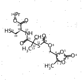 Cc1oc(=O)oc1COC(=O)SC(C)(C)C(=O)N[C@@H](CS)C(=O)OC(C)C